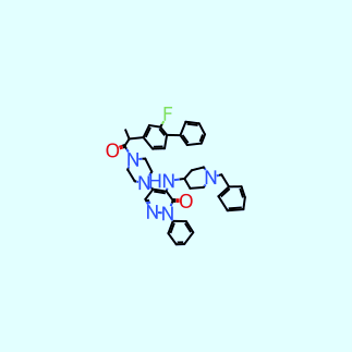 CC(C(=O)N1CCN(c2cnn(-c3ccccc3)c(=O)c2NC2CCN(Cc3ccccc3)CC2)CC1)c1ccc(-c2ccccc2)c(F)c1